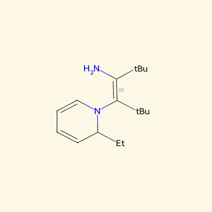 CCC1C=CC=CN1/C(=C(\N)C(C)(C)C)C(C)(C)C